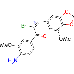 COc1cc(C(=O)/C(Br)=C\c2cc(OC)c3c(c2)OCO3)ccc1N